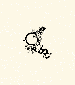 CC[C@@H]1C[C@@H](C)CC/C=C\[C@@H]2C[C@@]2(C(=O)NS(=O)(=O)C2(C)CC2)NC(=O)[C@@H]2C[C@@H](Oc3nccc4c5c(ccc34)N(C)CCO5)CN2C(=O)[C@H]1N(C(=O)O)C(C)(C)C(C)(F)F